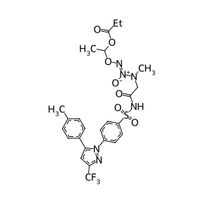 CCC(=O)OC(C)ON=[N+]([O-])N(C)CC(=O)NS(=O)(=O)c1ccc(-n2nc(C(F)(F)F)cc2-c2ccc(C)cc2)cc1